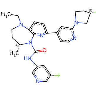 CCN1CC[C@@H](C)N(C(=O)Nc2cncc(F)c2)c2nc(-c3ccnc(N4CC[C@H](F)C4)c3)ccc21